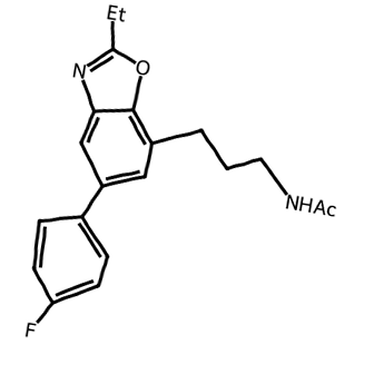 CCc1nc2cc(-c3ccc(F)cc3)cc(CCCNC(C)=O)c2o1